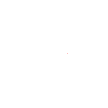 CCCCC[C@H](O)/C=C/[C@@H]1c2cc(CCCCC(=O)OC)oc2C[C@H]1OC1CCCCO1